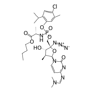 CCCCOC(=O)[C@H](C)NP(=O)(OC[C@@]1(N=[N+]=[N-])O[C@@H](n2ccc(/N=C\N(C)C)nc2=O)[C@@H](C)[C@@H]1O)Oc1cc(C)c(Cl)cc1C(C)C